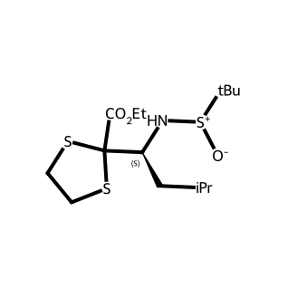 CCOC(=O)C1([C@H](CC(C)C)N[S+]([O-])C(C)(C)C)SCCS1